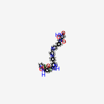 C[C@H]1CCCN1S(=O)(=O)Nc1ccc(F)c(C(=O)c2c[nH]c3ncc(-c4ccc(N5CCC(CN6CCC(c7ccc8c(c7)CN([C@H]7CCC(=O)NC7=O)C8=O)CC6)CC5)cc4)cc23)c1F